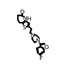 O=C1CCCc2sc(CCN3CCN(c4coc5cc(F)ccc45)CC3)cc2N1